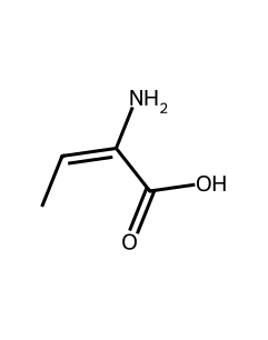 C/C=C(/N)C(=O)O